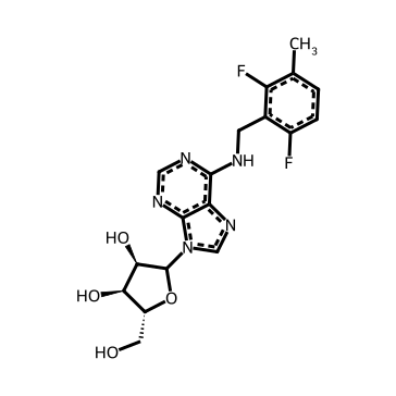 Cc1ccc(F)c(CNc2ncnc3c2ncn3C2O[C@H](CO)[C@@H](O)[C@H]2O)c1F